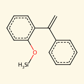 C=C(c1ccccc1)c1ccccc1O[SiH3]